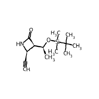 C#C[C@H]1NC(=O)[C@H]1[C@H](C)O[Si](C)(C)C(C)(C)C